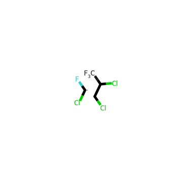 FC(F)(F)C(Cl)CCl.F[CH]Cl